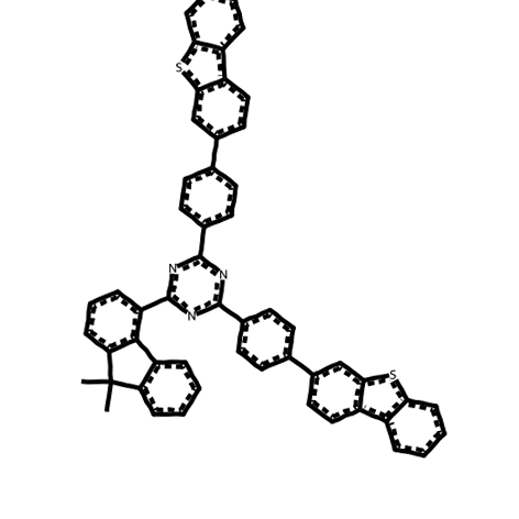 CC1(C)c2ccccc2-c2c(-c3nc(-c4ccc(-c5ccc6c(c5)sc5ccccc56)cc4)nc(-c4ccc(-c5ccc6c(c5)sc5ccccc56)cc4)n3)cccc21